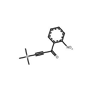 C[Si](C)(C)C#CC(=O)c1ccccc1[N+](=O)[O-]